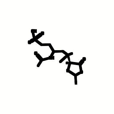 CC(=O)NC(CCS(=O)(=O)O)CC(C)(C)[C@H]1OC(C)OC1=O